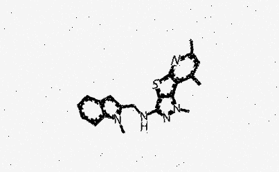 Cc1cc(C)c2c(n1)sc1c(NCc3cc4ccccc4n3C)nn(C)c12